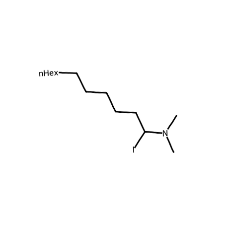 CCCCCCCCCCCC(I)N(C)C